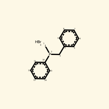 Br.IP(Cc1ccccc1)c1ccccc1